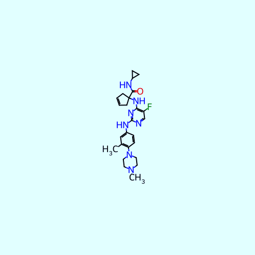 Cc1cc(Nc2ncc(F)c(NC3(C(=O)NC4CC4)CC=CC3)n2)ccc1N1CCN(C)CC1